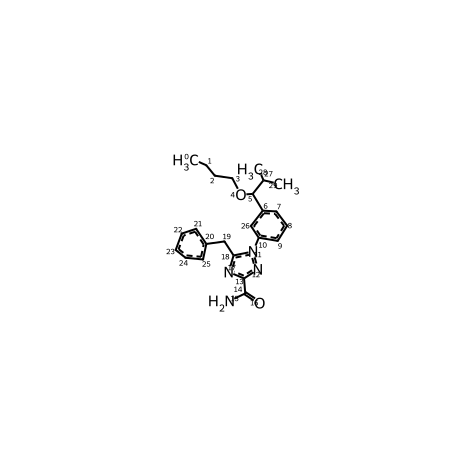 CCCCOC(c1cccc(-n2nc(C(N)=O)nc2Cc2ccccc2)c1)C(C)C